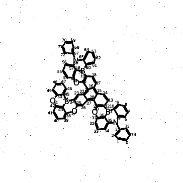 c1ccc(N2c3ccccc3B3c4ccc5c6ccc7c(c6c6cc8c(cc6c5c4Oc4cccc2c43)Oc2cccc3c2B8c2ccccc2O3)Oc2cccc3c2B7c2ccccc2N3c2ccccc2)cc1